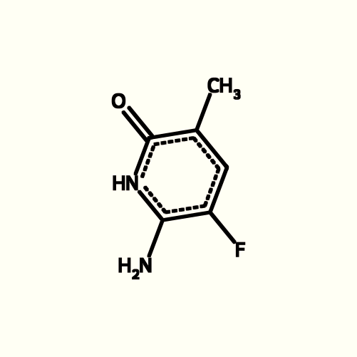 Cc1cc(F)c(N)[nH]c1=O